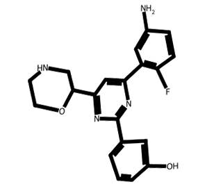 Nc1ccc(F)c(-c2cc(C3CNCCO3)nc(-c3cccc(O)c3)n2)c1